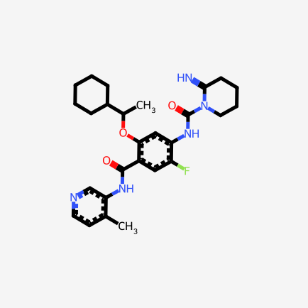 Cc1ccncc1NC(=O)c1cc(F)c(NC(=O)N2CCCCC2=N)cc1OC(C)C1CCCCC1